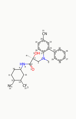 CN(C[C@](C)(O)C(=O)NC1CCC(C#N)C(C(F)(F)F)C1)c1ccc(C#N)cc1-c1ccccc1